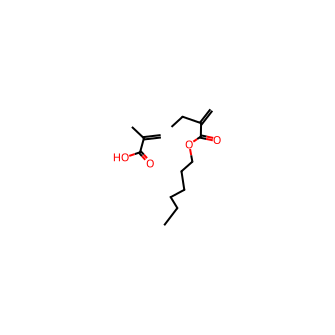 C=C(C)C(=O)O.C=C(CC)C(=O)OCCCCCC